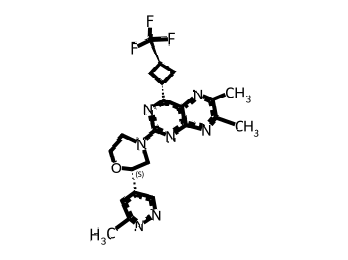 Cc1cc([C@H]2CN(c3nc4nc(C)c(C)nc4c([C@H]4C[C@H](C(F)(F)F)C4)n3)CCO2)cnn1